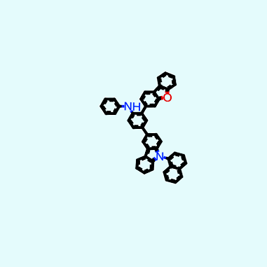 c1ccc(Nc2ccc(-c3ccc4c(c3)c3ccccc3n4-c3cccc4ccccc34)cc2-c2ccc3c(c2)oc2ccccc23)cc1